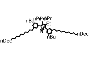 CCCCCCCCCCCCCCCCCCCCc1cc(CCCC)cc(C2=C(C)C(CC)=C(c3cc(CCCC)cc(CCCCCCCCCCCCCCCCCCCC)c3)[N+]2=[N-])c1.CC[CH2][Pd][CH2]CC